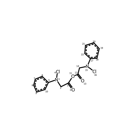 O=C(CN(Cl)c1ccccc1)OC(=O)CN(Cl)c1ccccc1